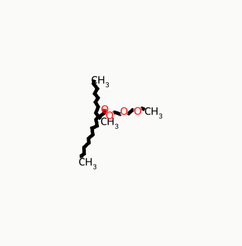 CCCCCCCCCCC(C)(CCCCCCCC)C(=O)OCCOCCOCC